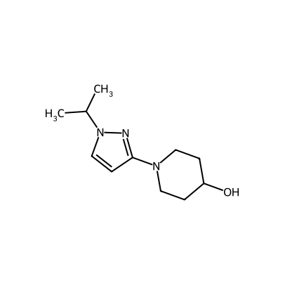 CC(C)n1ccc(N2CCC(O)CC2)n1